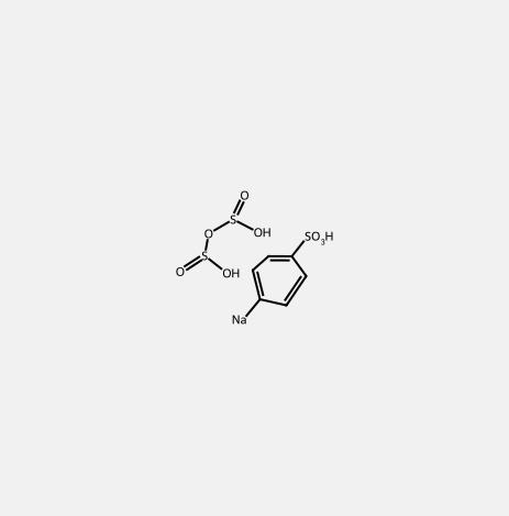 O=S(=O)(O)c1cc[c]([Na])cc1.O=S(O)OS(=O)O